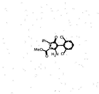 COC(=O)n1c(N)c(-c2c(Cl)cccc2Cl)c(=O)n1C(C)C